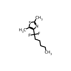 CCCCCC(F)(F)c1nc(C)sc1C